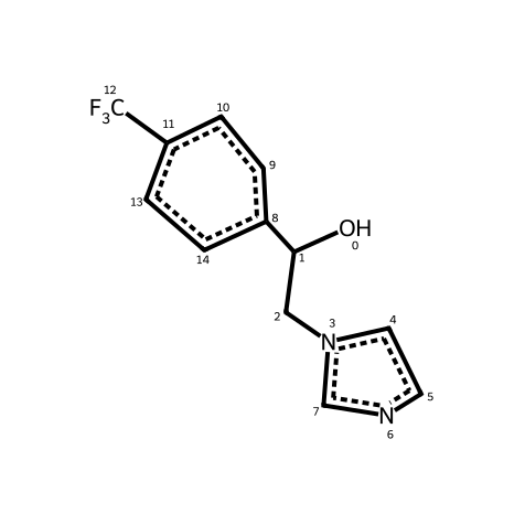 OC(Cn1ccnc1)c1ccc(C(F)(F)F)cc1